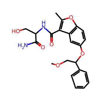 COCC(Oc1ccc2oc(C)c(C(=O)NC(CO)C(N)=O)c2c1)c1ccccc1